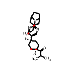 CCN1CC2CCC(C1)N2c1ncc([C@H]2CC3CCC2C[C@@H]3C(=O)C(C)C)cn1